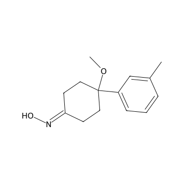 COC1(c2cccc(C)c2)CCC(=NO)CC1